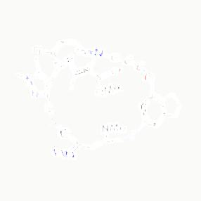 CN/C1=C\C(=N)CSCc2nn(C)c(C)c2-c2c(Cl)ccc3c2c(C)c(C(=O)OC)n3CCCOc2cc(cc3c2CCC3)SC1